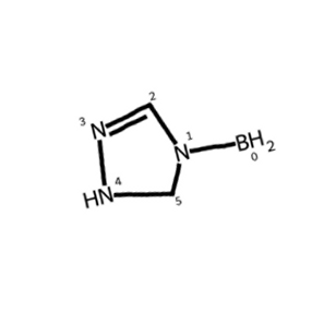 BN1C=NNC1